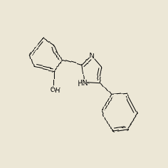 Oc1ccccc1-c1ncc(-c2ccccc2)[nH]1